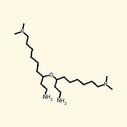 CN(C)CCCCCCC(CCN)OC(CCN)CCCCCCN(C)C